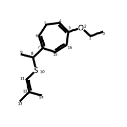 CCOC1=CCC=C(C(C)SC=C(C)C)C=C1